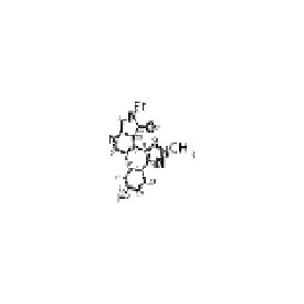 CCN1Cc2nccc(-c3cn(C)nc3-c3ccc(F)cc3)c2C1=O